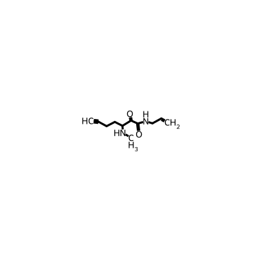 C#CCCC(NC)C(=O)C(=O)NCC=C